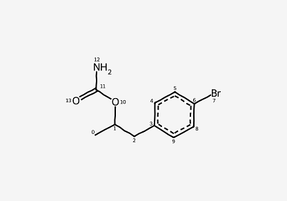 CC(Cc1ccc(Br)cc1)OC(N)=O